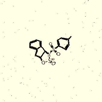 Cc1ccc(S(=O)(=O)N2C3c4ccccc4CC3O[S@]2=O)cc1